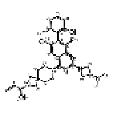 C=CC(O)N1CC2(CCN(c3nc(N4CC(N(C)C)C4)nc4c(F)c(-c5c(O)cccc5F)c(Cl)cc34)CC2)C1